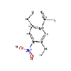 C=C(C)c1cc(CC)c([N+](=O)[O-])cc1CC